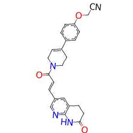 N#CCOc1ccc(C2=CCN(C(=O)C=Cc3cnc4c(c3)CCC(=O)N4)CC2)cc1